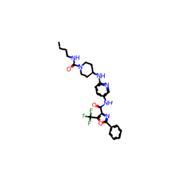 CCCCNC(=O)N1CCC(Nc2ccc(NC(=O)c3nc(-c4ccccc4)oc3C(F)(F)F)cn2)CC1